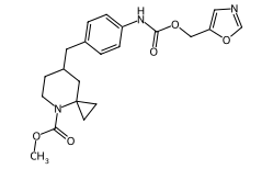 COC(=O)N1CCC(Cc2ccc(NC(=O)OCc3cnco3)cc2)CC12CC2